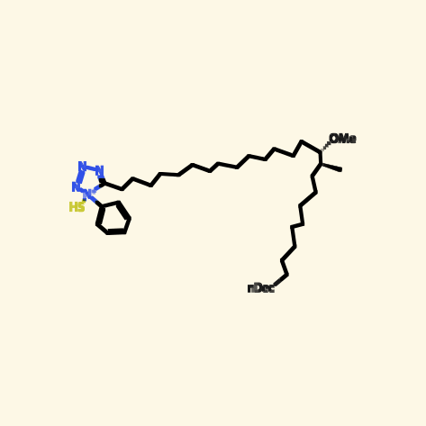 CCCCCCCCCCCCCCCCCC[C@H](C)[C@H](CCCCCCCCCCCCCCC1=NN=N[N+]1(S)c1ccccc1)OC